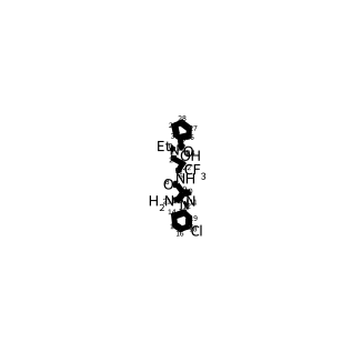 CCN(CC(O)(CNC(=O)c1cnn(-c2cccc(Cl)c2)c1N)C(F)(F)F)C(=O)c1ccccc1